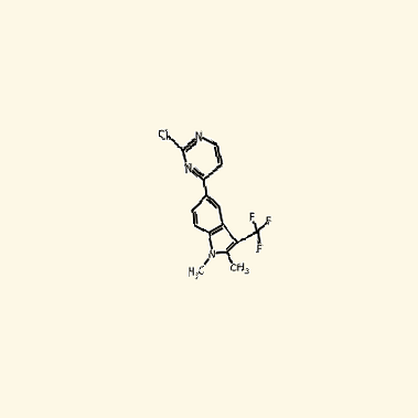 Cc1c(C(F)(F)F)c2cc(-c3ccnc(Cl)n3)ccc2n1C